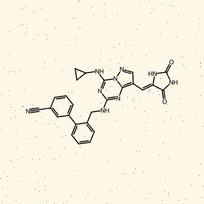 N#Cc1cccc(-c2ccccc2CNc2nc(NC3CC3)n3ncc(/C=C4\NC(=O)NC4=O)c3n2)c1